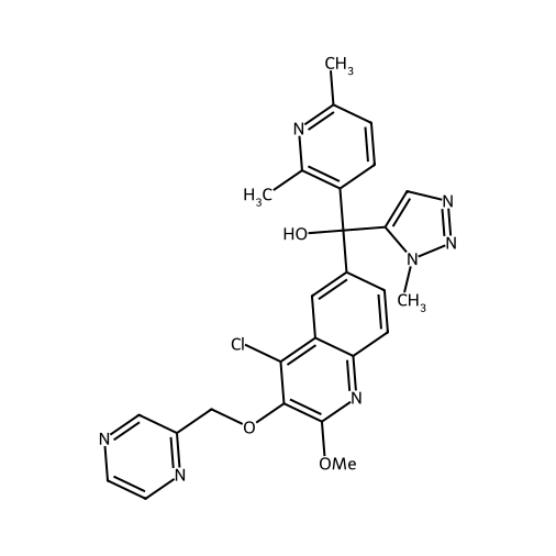 COc1nc2ccc(C(O)(c3ccc(C)nc3C)c3cnnn3C)cc2c(Cl)c1OCc1cnccn1